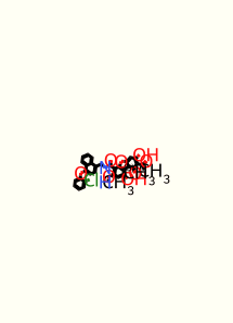 COc1cc(O)c2c(c1C(=O)NCc1ccc(Oc3ccccc3Cl)c3ccccc13)OC1=CC(O)=C(C(C)=O)C(=O)[C@]12C